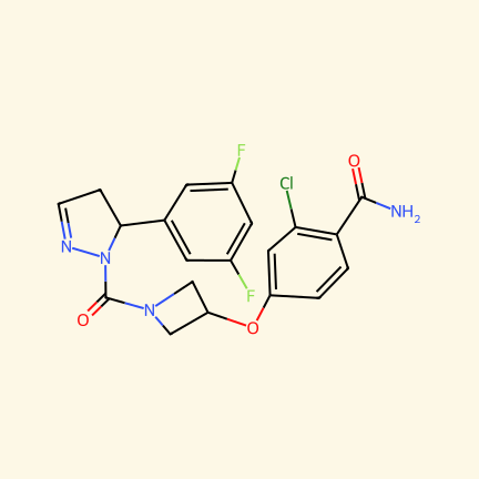 NC(=O)c1ccc(OC2CN(C(=O)N3N=CCC3c3cc(F)cc(F)c3)C2)cc1Cl